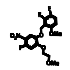 COCCOc1cc(F)c([N+](=O)[O-])cc1OCc1c(OC)ccc(F)c1F